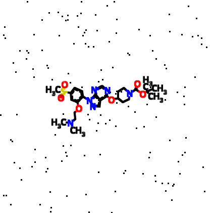 CN(C)CCOc1cc(S(C)(=O)=O)ccc1-n1ncc2c(OC3CCN(C(=O)OC(C)(C)C)CC3)ncnc21